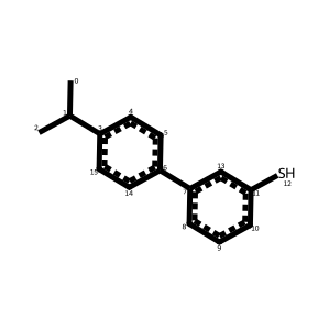 CC(C)c1ccc(-c2cccc(S)c2)cc1